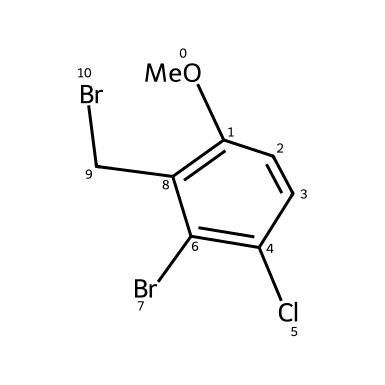 COc1ccc(Cl)c(Br)c1CBr